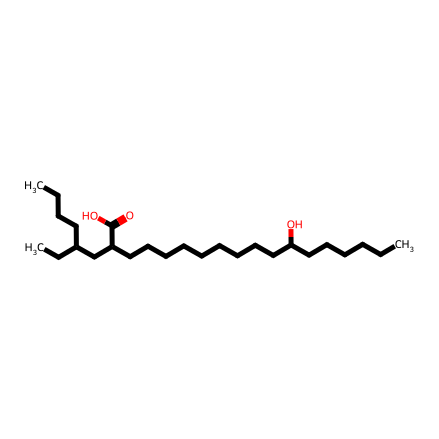 CCCCCCC(O)CCCCCCCCCC(CC(CC)CCCC)C(=O)O